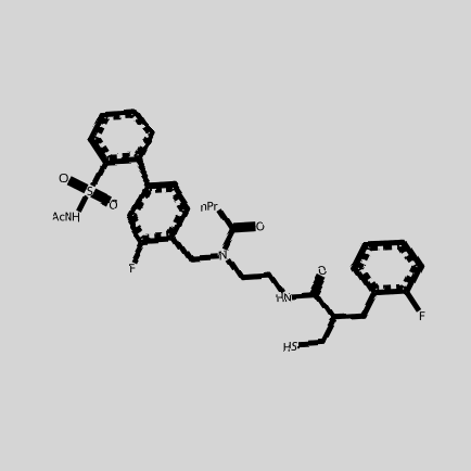 CCCC(=O)N(CCNC(=O)C(CS)Cc1ccccc1F)Cc1ccc(-c2ccccc2S(=O)(=O)NC(C)=O)cc1F